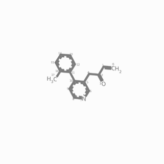 C=CC(=O)Cc1cnccc1-c1ccccc1C